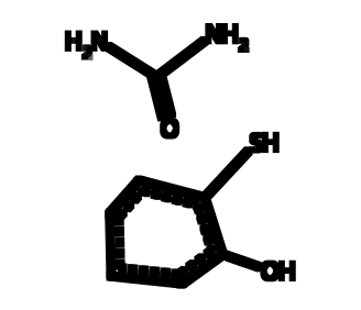 NC(N)=O.Oc1ccccc1S